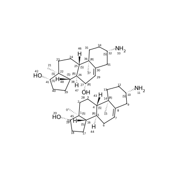 C[C@]12CC[C@H]3[C@@H](CC=C4C[C@@H](N)CC[C@@]43C)[C@@H]1CC[C@@H]2O.C[C@]12CC[C@H]3[C@@H]([C@@H](O)C=C4C[C@@H](N)CC[C@@]43C)[C@@H]1CC[C@@H]2O